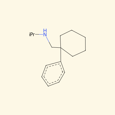 CC(C)NCC1(c2ccccc2)CCCCC1